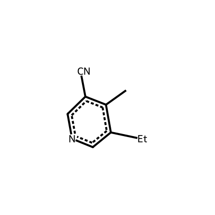 CCc1cncc(C#N)c1C